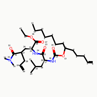 C=CCCCC(CCCCCCC)OC(=O)N[C@@H](CC(C)C)C(=O)N[C@@H](CC(CC=C)C(=O)N(C)C)C(=O)OCC